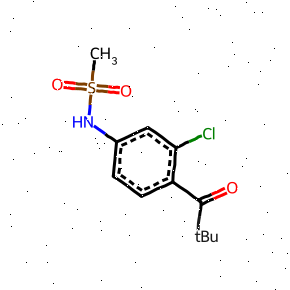 CC(C)(C)C(=O)c1ccc(NS(C)(=O)=O)cc1Cl